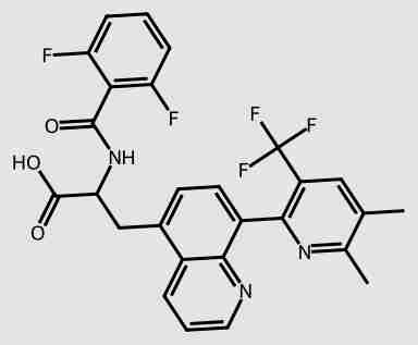 Cc1cc(C(F)(F)F)c(-c2ccc(CC(NC(=O)c3c(F)cccc3F)C(=O)O)c3cccnc23)nc1C